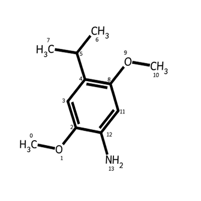 COc1cc(C(C)C)c(OC)cc1N